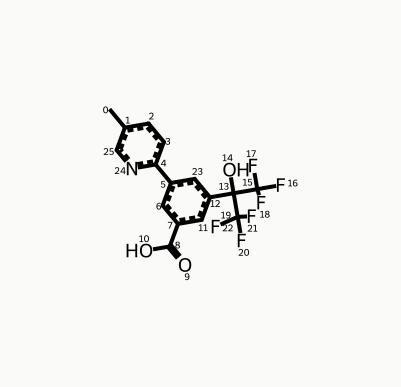 Cc1ccc(-c2cc(C(=O)O)cc(C(O)(C(F)(F)F)C(F)(F)F)c2)nc1